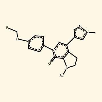 CC(=O)N1CCc2c(-c3cnn(C)c3)cn(-c3ccc(OCF)cc3)c(=O)c21